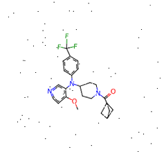 COc1ccncc1N(c1ccc(C(F)(F)F)cc1)C1CCN(C(=O)C23CC(C2)C3)CC1